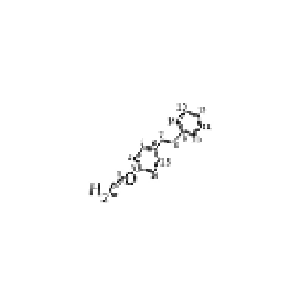 C=COc1ccc(C=Cc2ccccc2)cc1